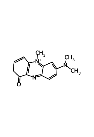 CN(C)c1ccc2nc3c([n+](C)c2c1)C=CCC3=O